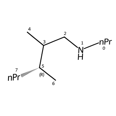 CCCNCC(C)[C@H](C)CCC